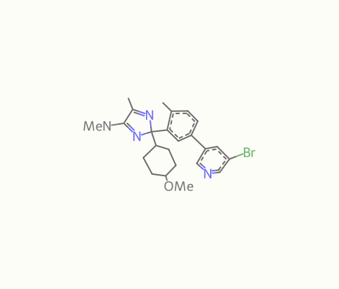 CNC1=NC(c2cc(-c3cncc(Br)c3)ccc2C)(C2CCC(OC)CC2)N=C1C